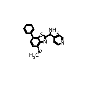 COc1ccc(-c2ccccc2)c2sc(C(N)c3ccncc3)nc12